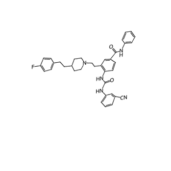 N#Cc1cccc(NC(=O)Nc2ccc(C(=O)Nc3ccccc3)cc2CCN2CCC(CCc3ccc(F)cc3)CC2)c1